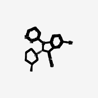 C[C@H]1CCCN([C@H]2C(=C=O)c3cc(Br)ccc3N2c2cccnn2)C1